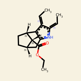 C/C=c1/c2c([nH]/c1=C/C)C[C@@H]1CC[C@H]2[C@@H]1C(=O)OCC